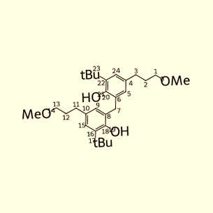 COCCCc1cc(Cc2cc(CCCOC)cc(C(C)(C)C)c2O)c(O)c(C(C)(C)C)c1